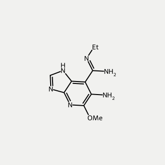 CCN=C(N)c1c(N)c(OC)nc2nc[nH]c12